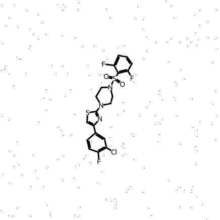 O=S(=O)(c1c(F)cccc1F)N1CCN(c2nc(-c3ccc(F)c(Cl)c3)cs2)CC1